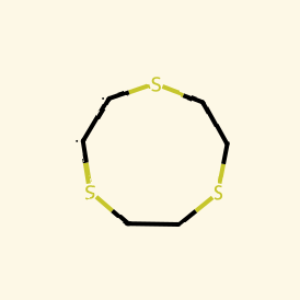 [CH]1[CH]SCCSCCS1